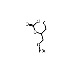 CCCCOCC(CCl)OC(=O)Cl